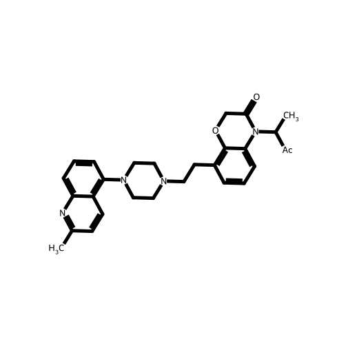 CC(=O)C(C)N1C(=O)COc2c(CCN3CCN(c4cccc5nc(C)ccc45)CC3)cccc21